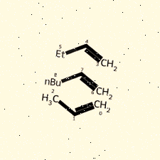 C=CC.C=CCC.C=CCCCC